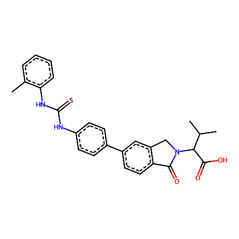 Cc1ccccc1NC(=S)Nc1ccc(-c2ccc3c(c2)CN(C(C(=O)O)C(C)C)C3=O)cc1